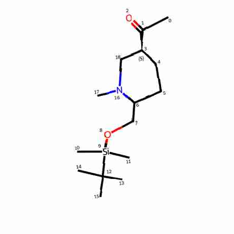 CC(=O)[C@H]1CCC(CO[Si](C)(C)C(C)(C)C)N(C)C1